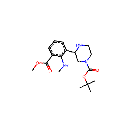 CNc1c(C(=O)OC)cccc1C1CN(C(=O)OC(C)(C)C)CCN1